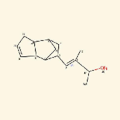 C/C(=C\C1CC2CC1C1C=CCC21)C(C)O